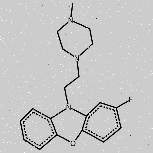 CN1CCN(CCN2c3ccccc3Oc3ccc(F)cc32)CC1